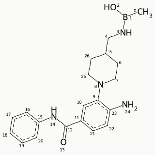 CB(O)NCC1CCN(c2cc(C(=O)Nc3ccccc3)ccc2N)CC1